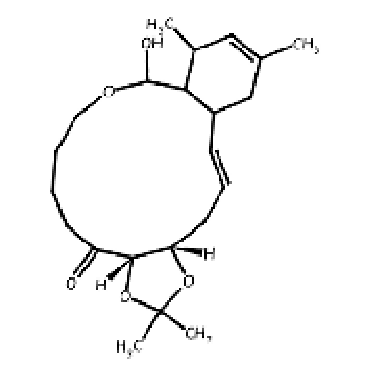 CC1=CC(C)C2C(/C=C/C[C@@H]3OC(C)(C)O[C@@H]3C(=O)CCCCOC2O)C1